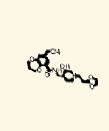 N#CCc1cc2c(c(C(=O)NC[C@@H]3CCN(CCC4OCCO4)C[C@H]3O)c1)OCCCO2